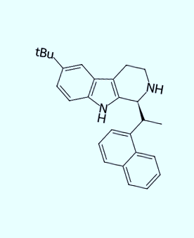 CC(c1cccc2ccccc12)[C@@H]1NCCc2c1[nH]c1ccc(C(C)(C)C)cc21